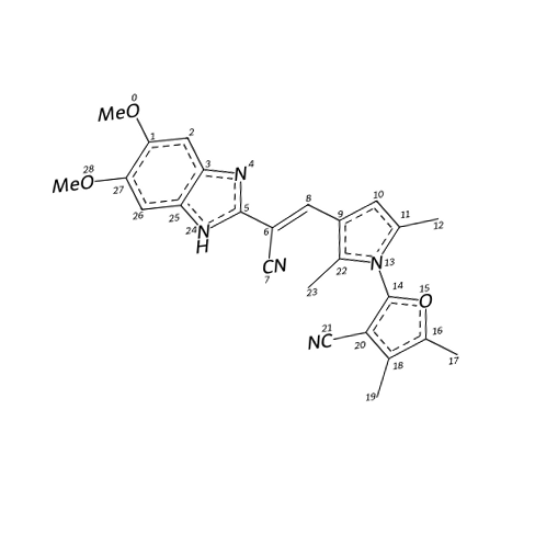 COc1cc2nc(C(C#N)=Cc3cc(C)n(-c4oc(C)c(C)c4C#N)c3C)[nH]c2cc1OC